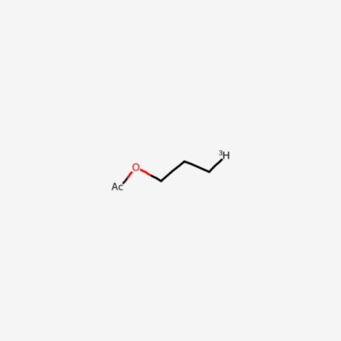 [3H]CCCOC(C)=O